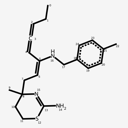 CCC=C=C/C(=C\CC1(C)CCSC(N)=N1)NCc1ccc(C)cc1